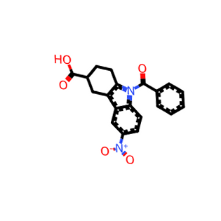 O=C(O)C1CCc2c(c3cc([N+](=O)[O-])ccc3n2C(=O)c2ccccc2)C1